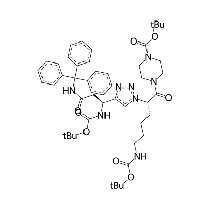 CC(C)(C)OC(=O)NCCCC[C@@H](C(=O)N1CCN(C(=O)OC(C)(C)C)CC1)n1cc([C@H](CC(=O)NC(c2ccccc2)(c2ccccc2)c2ccccc2)NC(=O)OC(C)(C)C)nn1